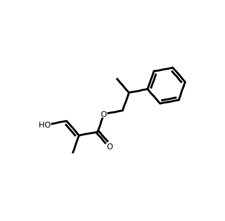 CC(=CO)C(=O)OCC(C)c1ccccc1